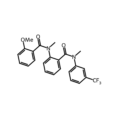 COc1ccccc1C(=O)N(C)c1ccccc1C(=O)N(C)c1cccc(C(F)(F)F)c1